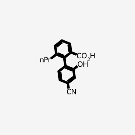 CCCc1cccc(C(=O)O)c1-c1ccc(C#N)cc1O